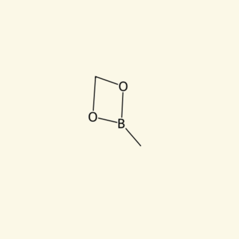 CB1OCO1